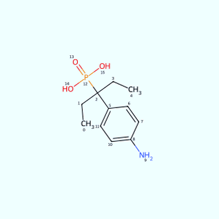 CCC(CC)(c1ccc(N)cc1)P(=O)(O)O